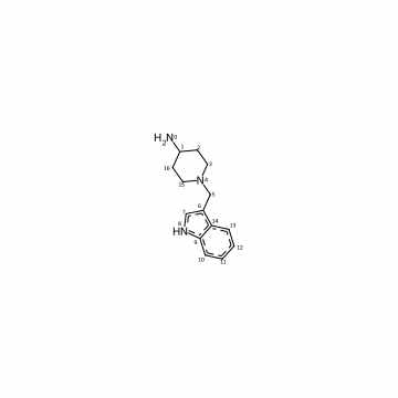 NC1CCN(Cc2c[nH]c3ccccc23)CC1